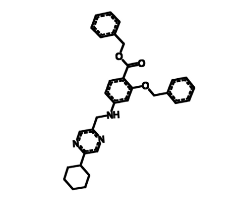 O=C(OCc1ccccc1)c1ccc(NCc2cnc(C3CCCCC3)cn2)cc1OCc1ccccc1